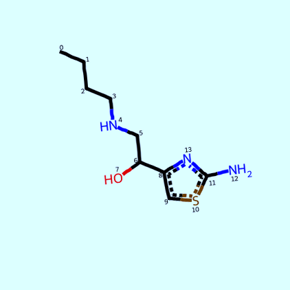 CCCCNCC(O)c1csc(N)n1